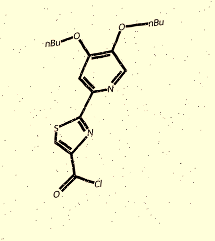 CCCCOc1cnc(-c2nc(C(=O)Cl)cs2)cc1OCCCC